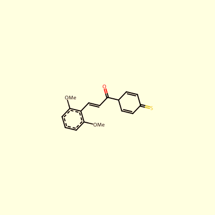 COc1cccc(OC)c1/C=C/C(=O)C1C=CC(=S)C=C1